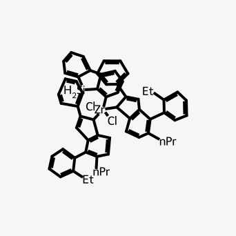 CCCc1ccc2c(c1-c1ccccc1CC)C=C(c1ccccc1)[CH]2[Zr]([Cl])([Cl])([c]1cccc2c1[SiH2]c1ccccc1-2)[CH]1C(c2ccccc2)=Cc2c1ccc(CCC)c2-c1ccccc1CC